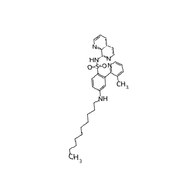 CCCCCCCCCCNc1ccc(S(=O)(=O)Nc2nccc3cccnc23)c(-c2ncccc2C)c1